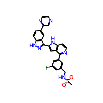 CS(=O)(=O)NCc1cc(F)cc(-c2nccc3[nH]c(-c4n[nH]c5ccc(-c6cnccn6)cc45)cc23)c1